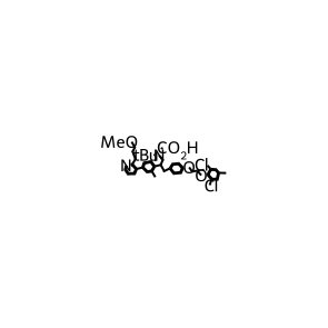 COCCCc1ncccc1-c1ccc(C(Cc2ccc(OCCOc3c(Cl)cc(C)cc3Cl)cc2)CN(C(=O)O)C(C)(C)C)c(C)c1